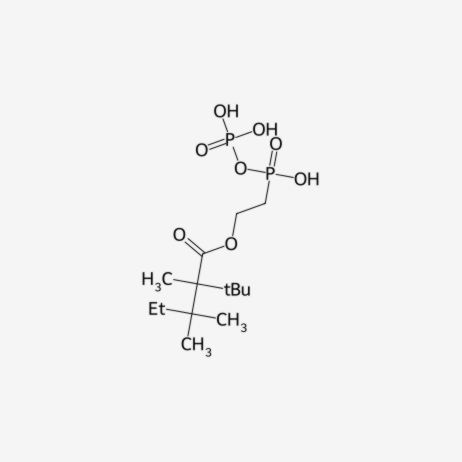 CCC(C)(C)C(C)(C(=O)OCCP(=O)(O)OP(=O)(O)O)C(C)(C)C